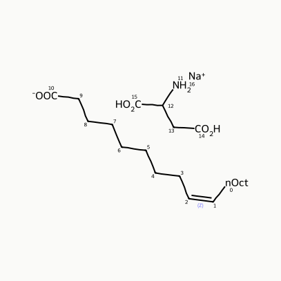 CCCCCCCC/C=C\CCCCCCCC(=O)[O-].NC(CC(=O)O)C(=O)O.[Na+]